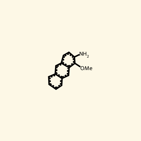 COc1c(N)ccc2cc3ccccc3cc12